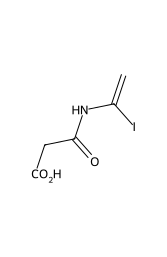 C=C(I)NC(=O)CC(=O)O